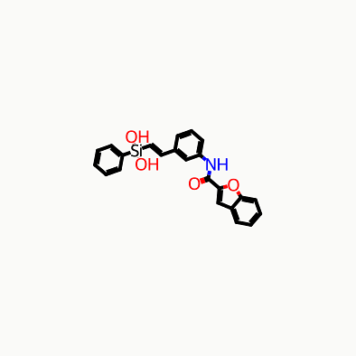 O=C(Nc1cccc(/C=C/[Si](O)(O)c2ccccc2)c1)c1cc2ccccc2o1